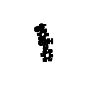 O=C(Nc1ccc([N+](=O)[O-])cc1)OCC1CCCCC1